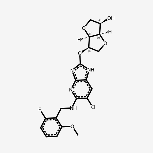 COc1cccc(F)c1CNc1nc2nc(O[C@@H]3CO[C@H]4[C@@H]3OC[C@H]4O)[nH]c2cc1Cl